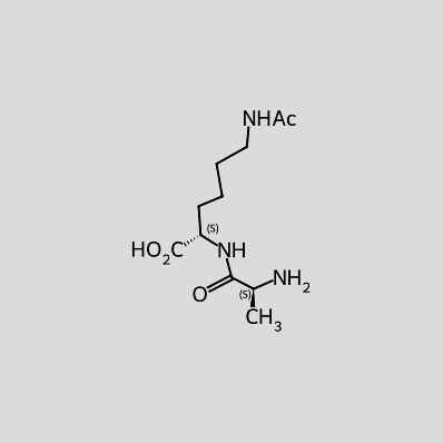 CC(=O)NCCCC[C@H](NC(=O)[C@H](C)N)C(=O)O